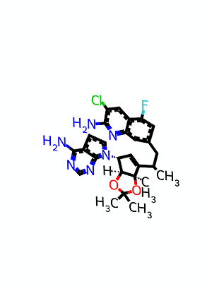 CC(Cc1cc(F)c2cc(Cl)c(N)nc2c1)C1=C[C@@H](n2ccc3c(N)ncnc32)[C@@H]2OC(C)(C)O[C@]12C